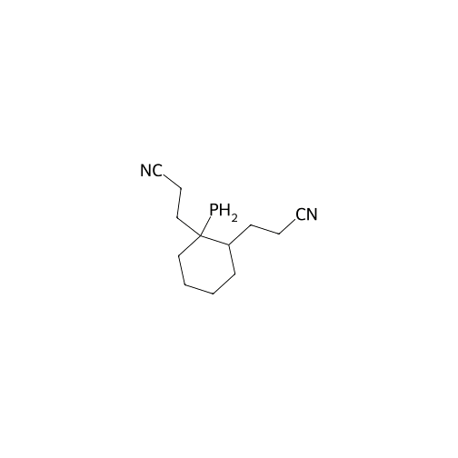 N#CCCC1CCCCC1(P)CCC#N